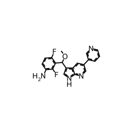 COC(c1c(F)ccc(N)c1F)c1c[nH]c2ncc(-c3cccnc3)cc12